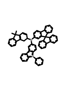 CC1(C)C2=C(CC(N(c3ccc4c(c3)C3(c5ccccc5-c5ccccc53)c3ccccc3-4)c3ccc4c(c3)c3ccccc3n4-c3ccccc3)C=C2)c2ccccc21